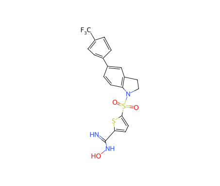 N=C(NO)c1ccc(S(=O)(=O)N2CCc3cc(-c4ccc(C(F)(F)F)cc4)ccc32)s1